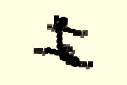 CC1(C)C(/C=C/C=C/C=C/C=C2/N(CCCCS(=O)(=O)O)c3ccc(S(=O)(=O)N4CCC(C(=O)O)CC4)cc3C2(C)C)=[N+](CCCCS(=O)(=O)O)c2ccccc21